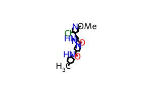 COc1cc(-c2cc(C(=O)N3CCC(C(=O)NC4CCC(C)CC4)CC3)n[nH]2)c(Cl)cn1